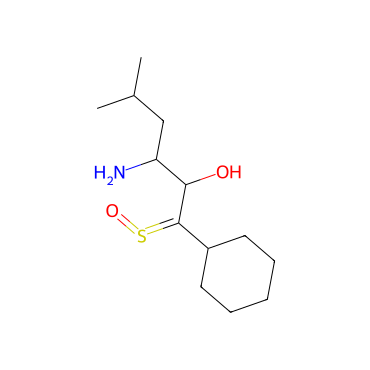 CC(C)CC(N)C(O)C(=S=O)C1CCCCC1